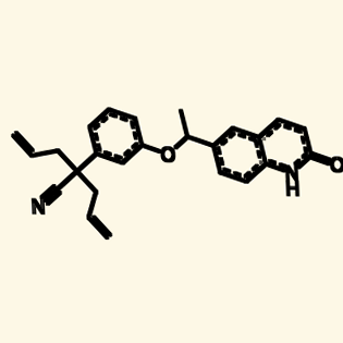 C=CCC(C#N)(CC=C)c1cccc(OC(C)c2ccc3[nH]c(=O)ccc3c2)c1